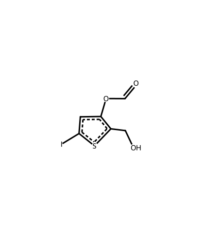 O=COc1cc(I)sc1CO